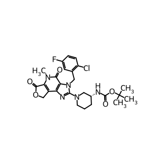 Cn1c2c(c3nc(N4CCC[C@@H](NC(=O)OC(C)(C)C)C4)n(Cc4cc(F)ccc4Cl)c3c1=O)COC2=O